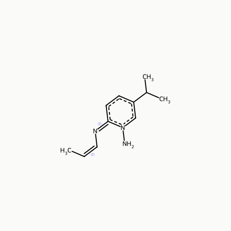 C/C=C\N=c1\ccc(C(C)C)cn1N